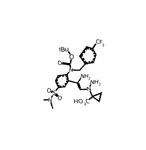 CN(C)S(=O)(=O)c1ccc(N(Cc2ccc(C(F)(F)F)cc2)C(=O)OC(C)(C)C)c(/C(N)=C/N(N)C2(C(=O)O)CC2)c1